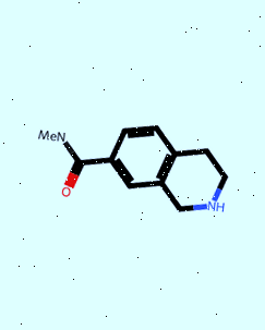 CNC(=O)c1ccc2c(c1)CNCC2